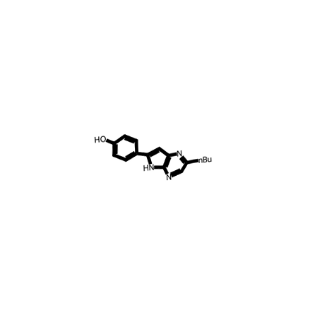 CCCCc1cnc2[nH]c(-c3ccc(O)cc3)cc2n1